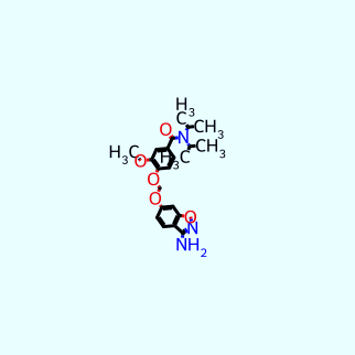 COc1cc(C(=O)N(C(C)C)C(C)C)ccc1OCOc1ccc2c(N)noc2c1